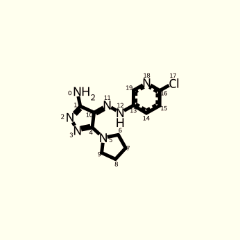 NC1=NN=C(N2CCCC2)/C1=N\Nc1ccc(Cl)nc1